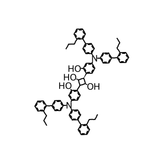 CCCc1ccccc1-c1ccc(N(c2ccc(-c3ccccc3CCC)cc2)c2ccc(C3[C@H](O)[C@H](c4ccc(N(c5ccc(-c6ccccc6CCC)cc5)c5ccc(-c6ccccc6CCC)cc5)cc4O)[C@@H]3O)c(O)c2)cc1